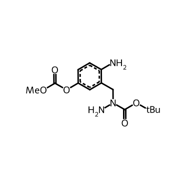 COC(=O)Oc1ccc(N)c(CN(N)C(=O)OC(C)(C)C)c1